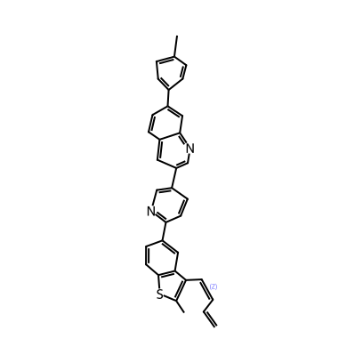 C=C/C=C\c1c(C)sc2ccc(-c3ccc(-c4cnc5cc(-c6ccc(C)cc6)ccc5c4)cn3)cc12